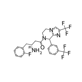 N[C@@H](CC(=O)N1CCn2cc(C(F)(F)F)nc2C1c1cccc(C(F)(F)F)c1)Cc1ccccc1F